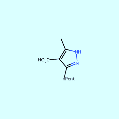 CCCCCc1n[nH]c(C)c1C(=O)O